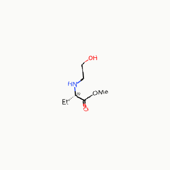 CC[C@H](NCCO)C(=O)OC